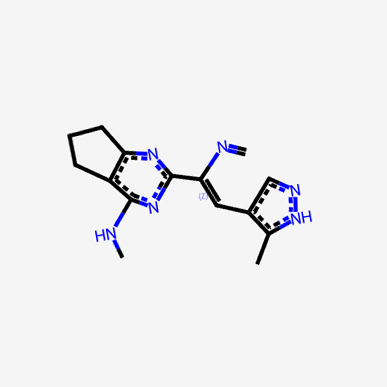 C=N/C(=C\c1cn[nH]c1C)c1nc2c(c(NC)n1)CCC2